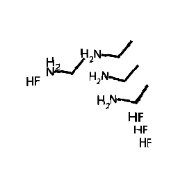 CCN.CCN.CCN.CCN.F.F.F.F